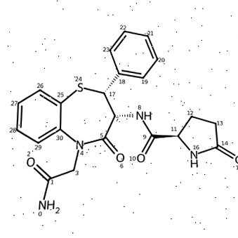 NC(=O)CN1C(=O)[C@@H](NC(=O)[C@H]2CCC(=O)N2)[C@@H](c2ccccc2)Sc2ccccc21